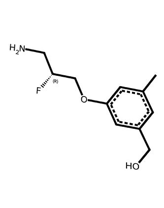 Cc1cc(CO)cc(OC[C@H](F)CN)c1